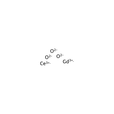 [Ce+3].[Gd+3].[O-2].[O-2].[O-2]